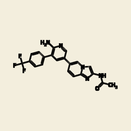 CC(=O)Nc1cn2cc(-c3cnc(N)c(-c4ccc(C(F)(F)F)cc4)c3)ccc2n1